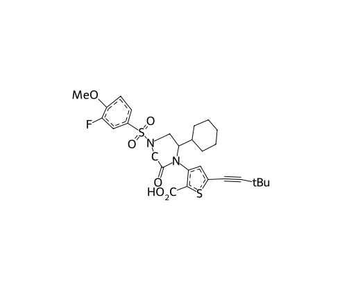 COc1ccc(S(=O)(=O)N2CC(=O)N(c3cc(C#CC(C)(C)C)sc3C(=O)O)C(C3CCCCC3)C2)cc1F